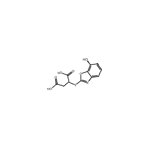 O=C(O)CC(Sc1nc2cccc(O)c2o1)C(=O)O